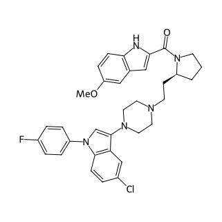 COc1ccc2[nH]c(C(=O)N3CCC[C@H]3CCN3CCN(c4cn(-c5ccc(F)cc5)c5ccc(Cl)cc45)CC3)cc2c1